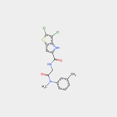 Cc1cccc(N(C)C(=O)CNC(=O)c2cc3sc(Cl)c(Cl)c3[nH]2)c1